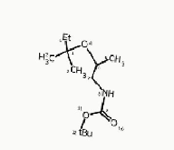 CCC(C)(C)OC(C)CNC(=O)OC(C)(C)C